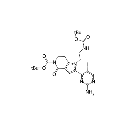 CC(C)(C)OC(=O)NCCn1c(-c2nc(N)ncc2I)cc2c1CCN(C(=O)OC(C)(C)C)C2=O